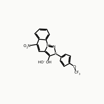 O=[N+]([O-])c1cc2c(O)n(-c3ccc(OC(F)(F)F)cc3)n[n+]2c2ccccc12.[OH-]